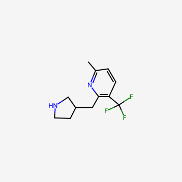 Cc1ccc(C(F)(F)F)c(CC2CCNC2)n1